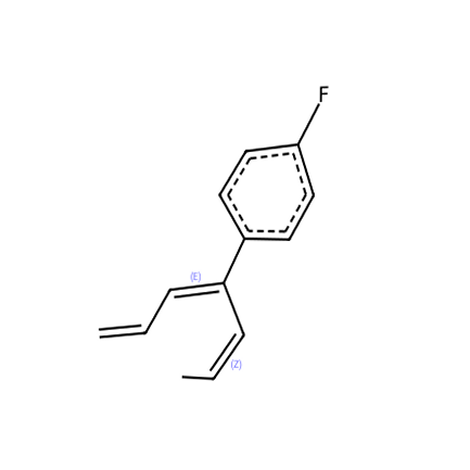 C=C/C=C(\C=C/C)c1ccc(F)cc1